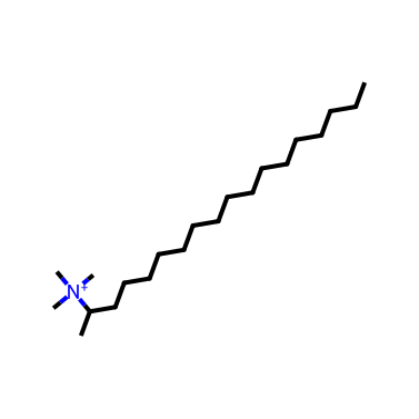 CCCCCCCCCCCCCCCCC(C)[N+](C)(C)C